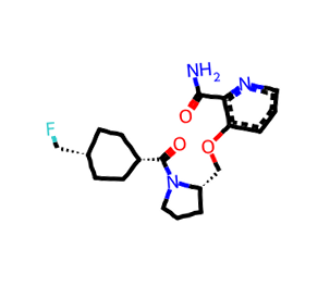 NC(=O)c1ncccc1OC[C@@H]1CCCN1C(=O)[C@H]1CC[C@@H](CF)CC1